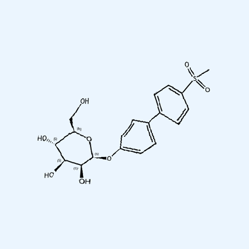 CS(=O)(=O)c1ccc(-c2ccc(O[C@@H]3O[C@H](CO)[C@@H](O)[C@H](O)[C@@H]3O)cc2)cc1